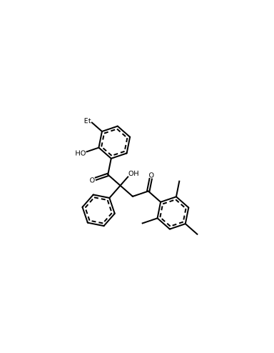 CCc1cccc(C(=O)C(O)(CC(=O)c2c(C)cc(C)cc2C)c2ccccc2)c1O